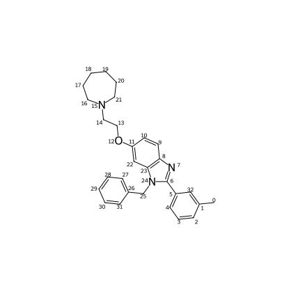 Cc1cccc(-c2nc3ccc(OCCN4CCCCCC4)cc3n2Cc2ccccc2)c1